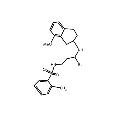 CCC(CCNS(=O)(=O)c1ccccc1C)NC1CCc2cccc(OC)c2C1